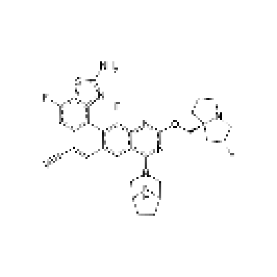 N#C/C=C/c1cc2c(N3CC4CCC(C3)N4)nc(OC[C@@]34CCCN3C[C@H](F)C4)nc2c(F)c1-c1ccc(F)c2sc(N)nc12